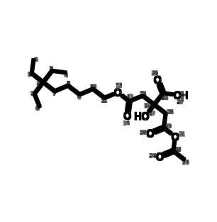 CCC(CC)(CC)CCCCCOC(=O)CC(O)(CC(=O)OC(C)=O)C(=O)O